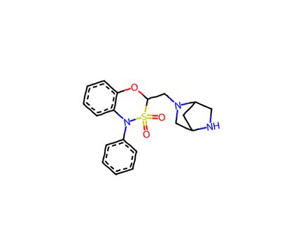 O=S1(=O)C(CN2CC3CC2CN3)Oc2ccccc2N1c1ccccc1